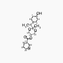 CC(c1ccc(O)cc1)C1(C)OCC(OC(=O)c2cccnc2)CO1